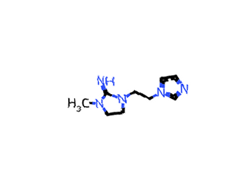 CN1CCN(CCn2ccnc2)C1=N